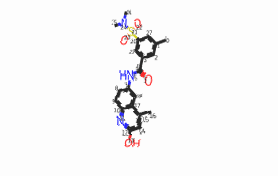 [CH2]c1cc(C(=O)Nc2ccc3nc(O)cc(C)c3c2)cc(S(=O)(=O)N(C)C)c1